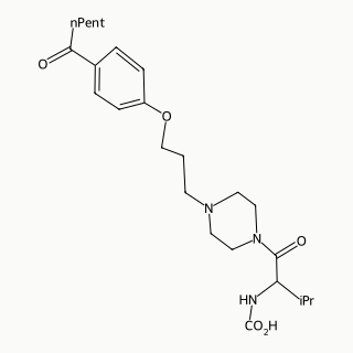 CCCCCC(=O)c1ccc(OCCCN2CCN(C(=O)C(NC(=O)O)C(C)C)CC2)cc1